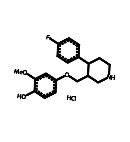 COc1cc(OCC2CNCCC2c2ccc(F)cc2)ccc1O.Cl